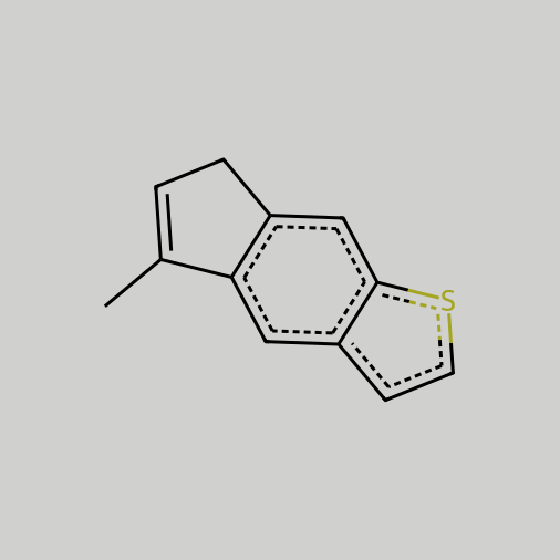 CC1=CCc2cc3sccc3cc21